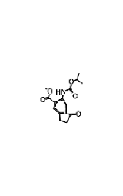 COC(=O)c1cc2c(cc1NC(=O)OC(C)C)C(=O)CC2